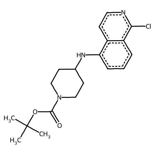 CC(C)(C)OC(=O)N1CCC(Nc2cccc3c(Cl)nccc23)CC1